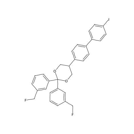 FCc1cccc(C2(c3cccc(CF)c3)OCC(c3ccc(-c4ccc(I)cc4)cc3)CO2)c1